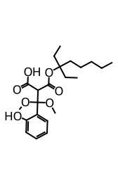 CCCCCC(CC)(CC)OC(=O)C(C(=O)O)C(OC)(OC)c1ccccc1O